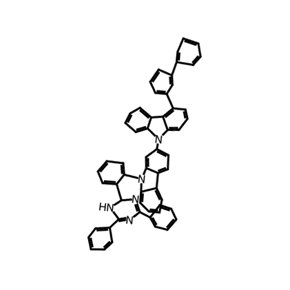 c1ccc(C2=NC(c3ccccc3-n3c4ccccc4c4ccc(-n5c6ccccc6c6c(-c7cccc(-c8ccccc8)c7)cccc65)cc43)NC(c3ccccc3)=N2)cc1